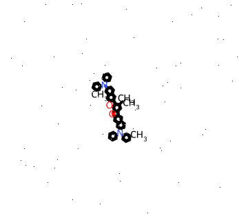 Cc1cccc(N(c2ccccc2)c2ccc3cc4c(cc3c2)oc2c4cc(C(C)C)c3c4cc5ccc(N(c6ccccc6)c6cccc(C)c6)cc5cc4oc23)c1